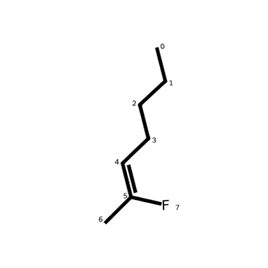 CCCCC=C(C)F